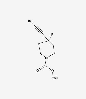 CC(C)(C)OC(=O)N1CCC(F)(C#CBr)CC1